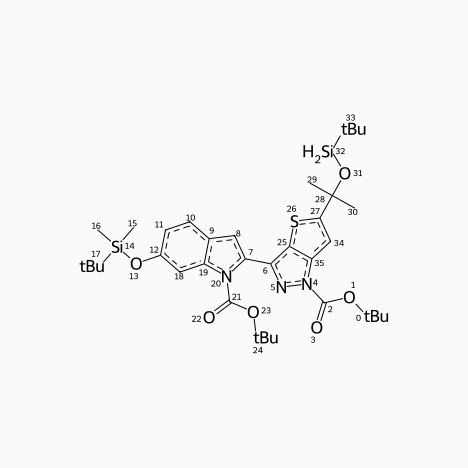 CC(C)(C)OC(=O)n1nc(-c2cc3ccc(O[Si](C)(C)C(C)(C)C)cc3n2C(=O)OC(C)(C)C)c2sc(C(C)(C)O[SiH2]C(C)(C)C)cc21